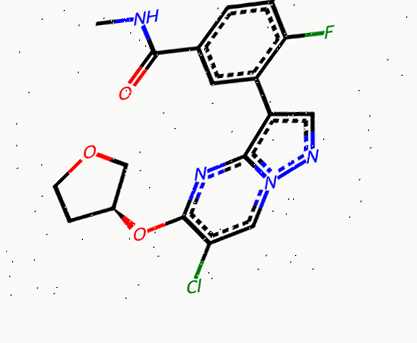 CNC(=O)c1cc(O)c(F)c(-c2cnn3cc(Cl)c(O[C@H]4CCOC4)nc23)c1